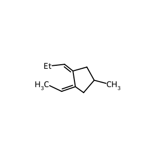 C/C=C1/CC(C)C/C1=C/CC